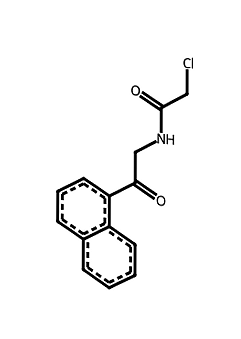 O=C(CCl)NCC(=O)c1cccc2ccccc12